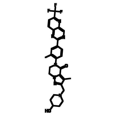 Cc1cc(-c2ncc3nc(C(F)(F)F)ccc3n2)ccc1N1CCn2nc(CN3CCC(O)CC3)c(C)c2C1=O